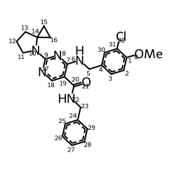 COc1ccc(CNc2nc(N3CCCC34CC4)ncc2C(=O)NCc2ccccc2)cc1Cl